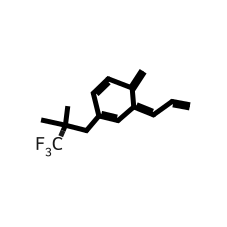 C=C/C=c1/cc(CC(C)(C)C(F)(F)F)ccc1=C